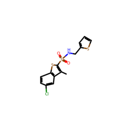 Cc1c(S(=O)(=O)NCc2cccs2)sc2ccc(Cl)cc12